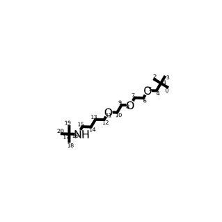 CC(C)(C)COCCOCCOCCCCNC(C)(C)C